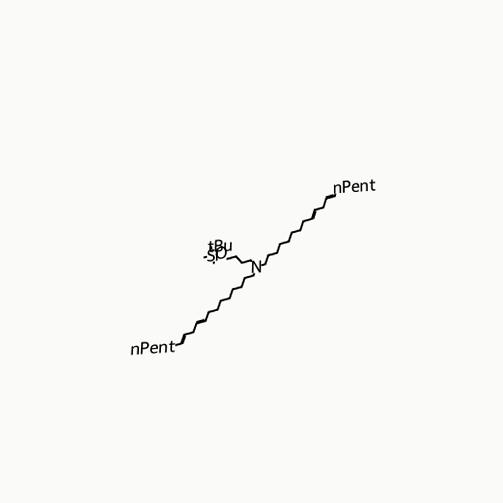 CCCCCC=CCC=CCCCCCCCCN(CCCCCCCCC=CCC=CCCCCC)CCCCO[Si](C)(C)C(C)(C)C